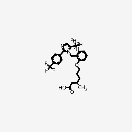 [2H]C([2H])([2H])c1cnc(-c2ccc(C(F)(F)F)cc2)n1Cc1ccccc1OCCC[C@@H](C)CC(=O)O